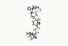 NC(=O)c1ccc(-c2ccc(CCCc3ncc[nH]3)nc2)cc1